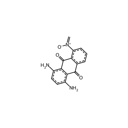 C=[N+]([O-])c1cccc2c1C(=O)c1c(N)ccc(N)c1C2=O